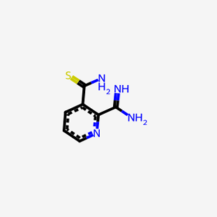 N=C(N)c1ncccc1C(N)=S